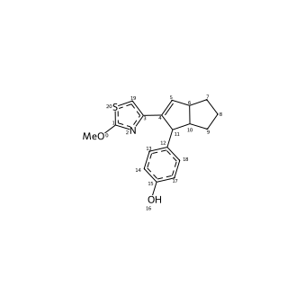 COc1nc(C2=CC3CCCC3C2c2ccc(O)cc2)cs1